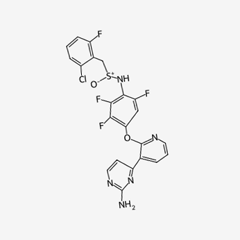 Nc1nccc(-c2cccnc2Oc2cc(F)c(N[S+]([O-])Cc3c(F)cccc3Cl)c(F)c2F)n1